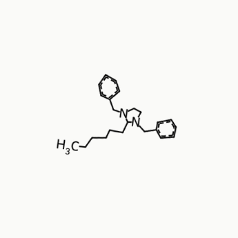 CCCCCCC1N(Cc2ccccc2)CCN1Cc1ccccc1